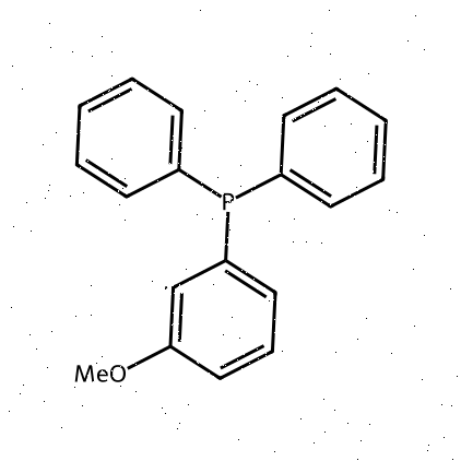 COc1[c]c(P(c2ccccc2)c2ccccc2)ccc1